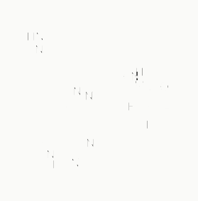 N#CCC(c1cccc(-c2cn[nH]c2)c1)n1cc(-c2ncnc3[nH]ccc23)cn1.O=C(O)C(F)(F)F